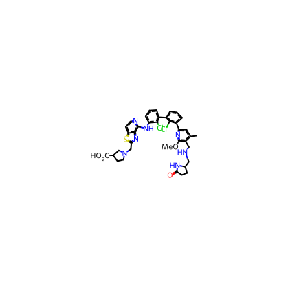 COc1nc(-c2cccc(-c3cccc(Nc4nccc5sc(CN6CCC(C(=O)O)C6)nc45)c3Cl)c2Cl)cc(C)c1CNCC1CCC(=O)N1